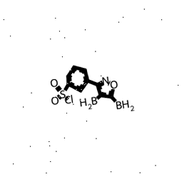 Bc1onc(-c2cccc(S(=O)(=O)Cl)c2)c1B